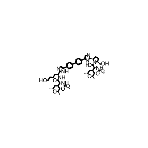 COC(=O)N[C@H](C(=O)NC(CCCCO)c1ncc(-c2ccc(-c3ccc(-c4cnc([C@H]5CC[C@@H](CO)N5C(=O)[C@@H](NC(=O)OC)C5C[C@@H](C)O[C@H](C)C5)[nH]4)cc3)cc2)[nH]1)C1C[C@@H](C)O[C@H](C)C1